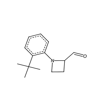 CC(C)(C)c1ccccc1N1CCC1C=O